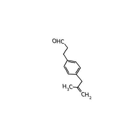 C=C(C)Cc1ccc(CCC=O)cc1